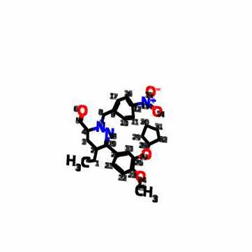 CCC1CC(C=O)N(Cc2ccc([N+](=O)[O-])cc2)N=C1c1ccc(OC)c(OC2CCCC2)c1